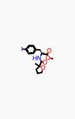 COC(=O)[C@H](Cc1ccc(I)cc1)NC(=O)C1(C)CCCO1